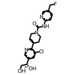 O=C(Nc1ccc(CF)cn1)N1CC=C(c2ncc([C@@H](O)CO)cc2Cl)CC1